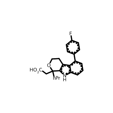 CCCC1(CC(=O)O)OCCc2c1[nH]c1cccc(-c3ccc(F)cc3)c21